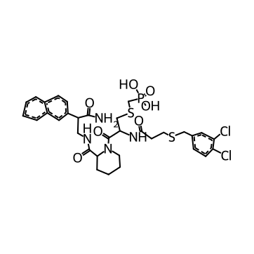 NC(=O)C(CNC(=O)C1CCCCN1C(=O)C(CSCP(=O)(O)O)NC(=O)CCSCc1ccc(Cl)c(Cl)c1)c1ccc2ccccc2c1